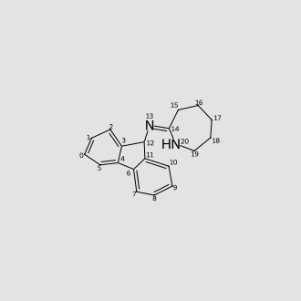 c1ccc2c(c1)-c1ccccc1C2N=C1CCCCCN1